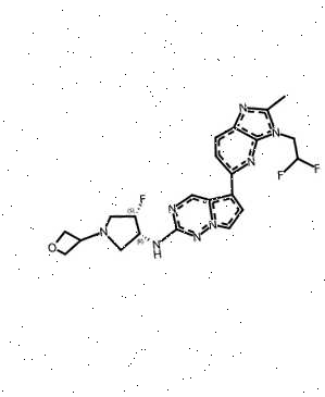 Cc1nc2ccc(-c3ccn4nc(N[C@@H]5CN(C6COC6)C[C@@H]5F)ncc34)nc2n1CC(F)F